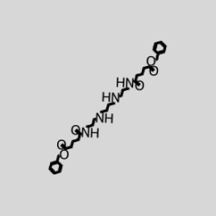 O=C(CCCC(=O)OCc1ccccc1)NCCCNCCCCNCCCNC(=O)CCCC(=O)OCc1ccccc1